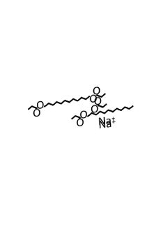 CCC(=O)[O-].CCC(=O)[O-].CCCCCCCCCCCCOC(=O)CC.CCCCCCCCCCCCOC(=O)CC.[Na+].[Na+]